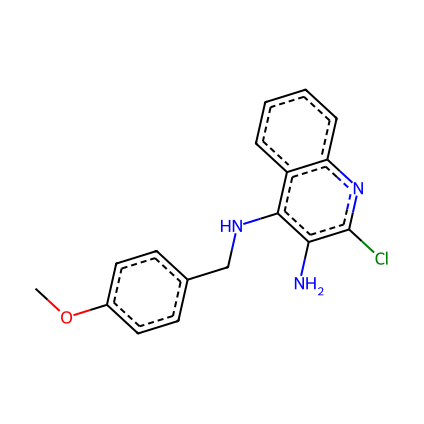 COc1ccc(CNc2c(N)c(Cl)nc3ccccc23)cc1